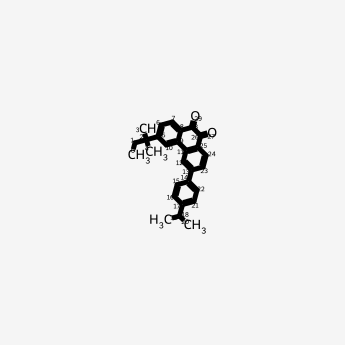 CCC(C)(C)c1ccc2c(c1)-c1cc(-c3ccc(C(C)C)cc3)ccc1C(=O)C2=O